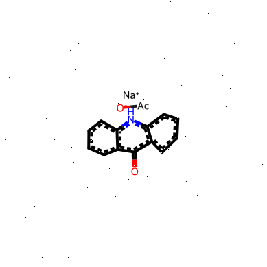 CC(=O)[O-].O=c1c2ccccc2[nH]c2ccccc12.[Na+]